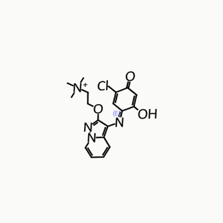 C[N+](C)(C)CCOc1nn2ccccc2c1/N=C1\C=C(Cl)C(=O)C=C1O